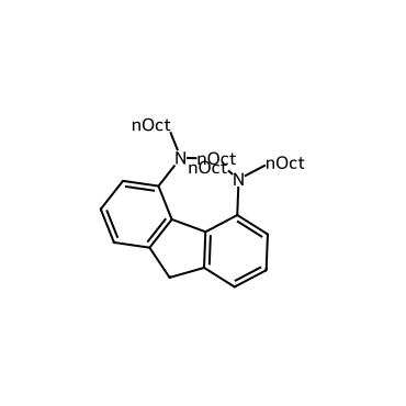 CCCCCCCCN(CCCCCCCC)c1cccc2c1-c1c(cccc1N(CCCCCCCC)CCCCCCCC)C2